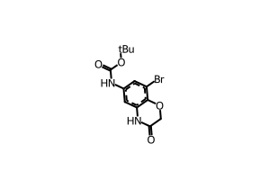 CC(C)(C)OC(=O)Nc1cc(Br)c2c(c1)NC(=O)CO2